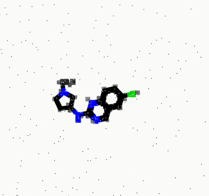 O=C(O)N1CC[C@H](Nc2ncc3cc(Cl)ccc3n2)C1